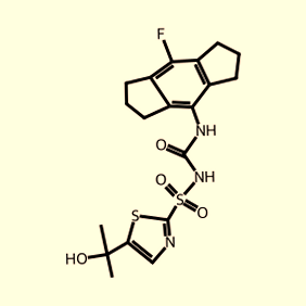 CC(C)(O)c1cnc(S(=O)(=O)NC(=O)Nc2c3c(c(F)c4c2CCC4)CCC3)s1